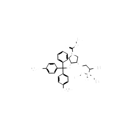 COc1ccc(C(O[C@H]2CN(C(=O)OC(C)(C)C)C[C@H]2OCC(O)P(=O)(OC(C)C)OC(C)C)(c2ccccc2)c2ccc(OC)cc2)cc1